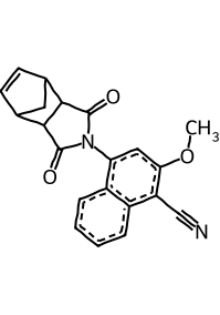 COc1cc(N2C(=O)C3C4C=CC(C4)C3C2=O)c2ccccc2c1C#N